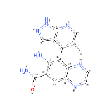 Cc1cnc2[nH]ncc2c1-c1c(N)c(C(N)=O)cc2nccnc12